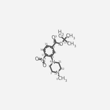 CN1CCN(c2cc(C(=O)OC(C)(C)C)ccc2[N+](=O)[O-])CC1